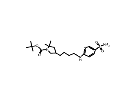 CC(C)(C)OC(=O)N1CC(CCCCNc2ccc(S(N)(=O)=O)cn2)CC1(C)C